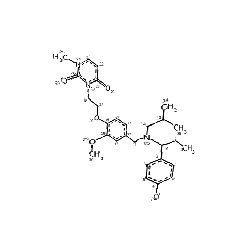 CCC(c1ccc(Cl)cc1)N(Cc1ccc(OCCn2c(=O)ccn(C)c2=O)c(OC)c1)CC(C)C